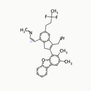 C=N/C=C\c1cc(CCC(C)(F)F)cc2c1CC(c1c(C)c(C)cc3c1oc1ccccc13)=C2CC(C)C